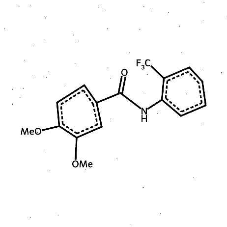 COc1ccc(C(=O)Nc2ccccc2C(F)(F)F)cc1OC